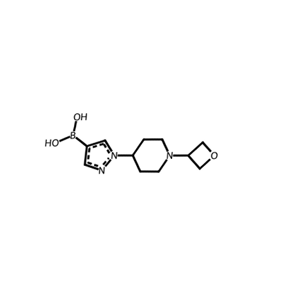 OB(O)c1cnn(C2CCN(C3COC3)CC2)c1